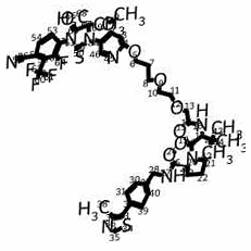 COc1cc(OCCCOCCOCC(=O)N[C@H](C(=O)N2CCC[C@H]2C(=O)NCc2ccc(-c3scnc3C)cc2)C(C)(C)C)ncc1N1C(=S)N(c2ccc(C#N)c(C(F)(F)F)c2F)C(=O)C1(C)C